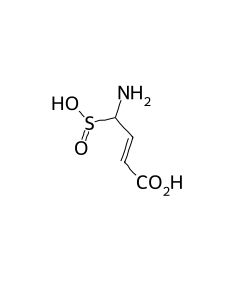 NC(/C=C/C(=O)O)S(=O)O